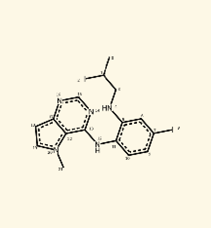 CC(I)CNc1cc(I)ccc1Nc1ncnc2ccn(C)c12